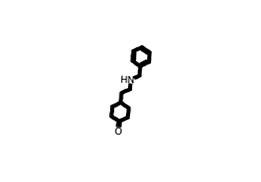 O=C1CCC(CCNCc2ccccc2)CC1